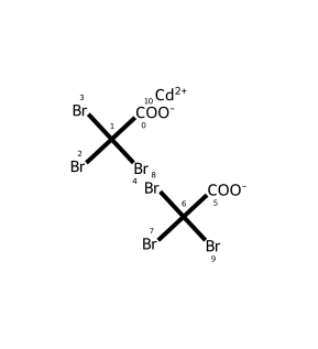 O=C([O-])C(Br)(Br)Br.O=C([O-])C(Br)(Br)Br.[Cd+2]